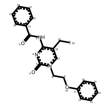 O=C(Nc1nc(=O)n(CCOc2ccccc2)cc1CI)c1ccccc1